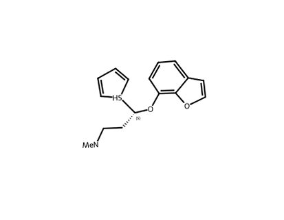 CNCC[C@@H](Oc1cccc2ccoc12)[SH]1C=CC=C1